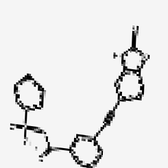 CS(=O)(=NC(=O)c1cncc(C#Cc2ccc3oc(=O)[nH]c3c2)c1)c1ccccc1